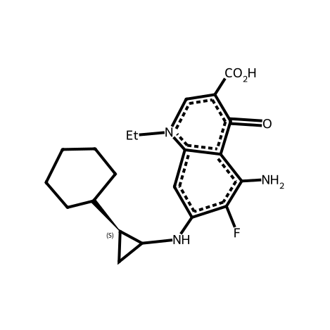 CCn1cc(C(=O)O)c(=O)c2c(N)c(F)c(NC3C[C@H]3C3CCCCC3)cc21